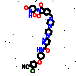 N#Cc1ccc(O[C@H]2CC[C@H](NC(=O)c3ccc(N4CCC(N5CCN(Cc6ccc7c(c6)C(=O)N(C6CCC(=O)NC6=O)C7=O)CC5)CC4)nn3)CC2)cc1Cl